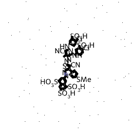 CSc1ccc(-c2c(/N=N/c3cc(S(=O)(=O)O)c4cc(S(=O)(=O)O)cc(S(=O)(=O)O)c4c3)sc(N=Nc3c(Nc4ccc(Cl)c(S(=O)(=O)O)c4)nc(Nc4ccc(Cl)c(S(=O)(=O)O)c4)c(C#N)c3C)c2C#N)cc1